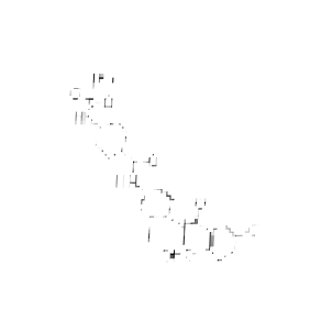 Cc1cc(NC(=O)C2CCC(NS(=O)(=O)C(C)(C)C)CC2)ccc1NC(=O)C1=C(C=O)CCC(Cl)=C1